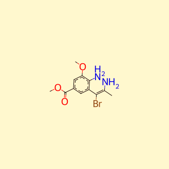 COC(=O)c1cc(OC)c(N)c(/C(Br)=C(/C)N)c1